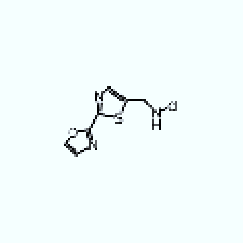 ClNCc1cnc(-c2ncco2)s1